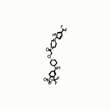 O=C(CO[C@H]1CC[C@H](Nc2ccc([N+](=O)[O-])c(C(F)(F)F)c2)CC1)N1CCN(C2C=CC(C(F)F)=CN2)CC1